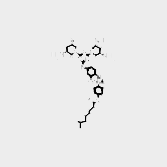 CC(C)CCCCCC(=O)Nc1ccc(S(=O)(=O)Nc2ccc(Nc3nc(N4C[C@H](N)C[C@H](N)C4)nc(N4C[C@H](N)C[C@H](N)C4)n3)cc2O)cc1